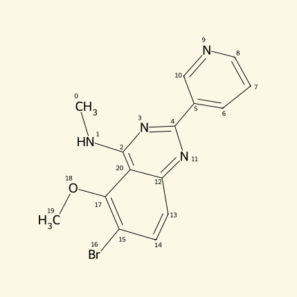 CNc1nc(-c2cccnc2)nc2ccc(Br)c(OC)c12